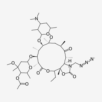 CCC1OC(=O)[C@H](C)[C@@H](OC2CC(C)(OC)C(OC(C)=O)C(C)O2)[C@H](C)[C@@H](OC2OC(C)CC(N(C)C)C2C)[C@@](C)(OC)C[C@@H](C)C(=O)[C@H](C)[C@H]2N(CN=[N+]=[N-])C(=O)O[C@]12C